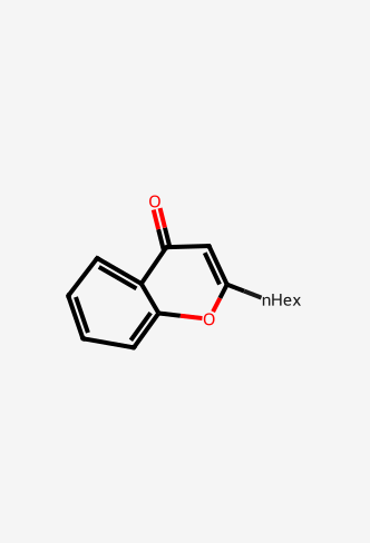 CCCCCCc1cc(=O)c2ccccc2o1